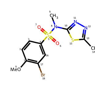 COc1ccc(S(=O)(=O)N(C)c2nnc(C)s2)cc1Br